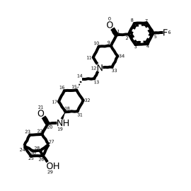 O=C(c1ccc(F)cc1)C1CCN(CC[C@H]2CC[C@H](NC(=O)C3CC4CCC3C(O)C4)CC2)CC1